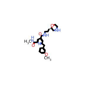 CNC(=O)c1cc(C(=O)NCCC[C@H]2CNCCO2)cc(Cc2cccc(OC)c2)n1